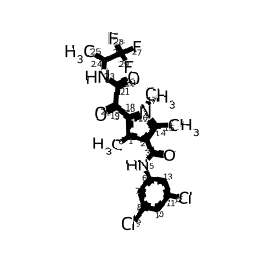 Cc1c(C(=O)Nc2cc(Cl)cc(Cl)c2)c(C)n(C)c1C(=O)C(=O)NC(C)C(F)(F)F